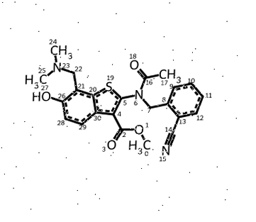 COC(=O)c1c(N(Cc2ccccc2C#N)C(C)=O)sc2c(CN(C)C)c(O)ccc12